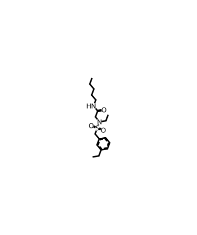 CCCCCNC(=O)CN(CC)S(=O)(=O)Cc1cccc(CC)c1